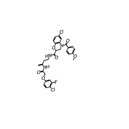 C=C(CCNC(=O)C1CN(C(=O)c2ccc(OC)cc2)c2cc(Cl)ccc2O1)NC(=O)COc1ccc(Cl)c(F)c1